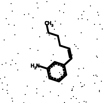 CCCC/C=C\c1cccc(N)c1